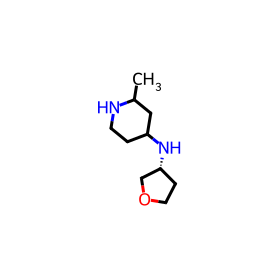 CC1CC(N[C@@H]2CCOC2)CCN1